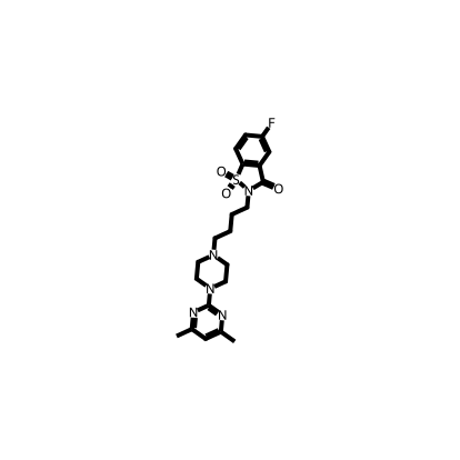 Cc1cc(C)nc(N2CCN(CCCCN3C(=O)c4cc(F)ccc4S3(=O)=O)CC2)n1